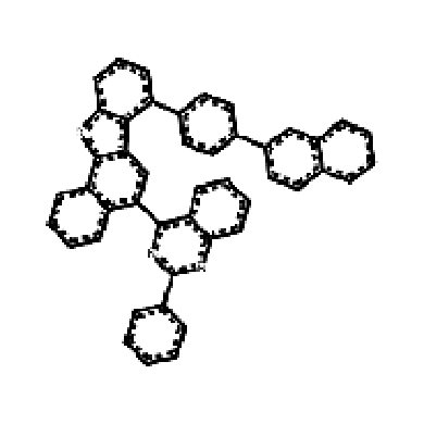 c1ccc(-c2nc(-c3cc4c(oc5cccc(-c6ccc(-c7ccc8ccccc8c7)cc6)c54)c4ccccc34)c3ccccc3n2)cc1